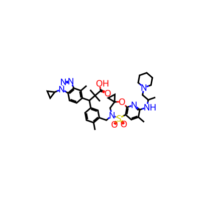 Cc1ccc(C(c2ccc3c(nnn3C3CC3)c2C)C(C)(C)C(=O)O)cc1CN1CC2(CC2)Oc2nc(NC(C)CN3CCCCC3)c(C)cc2S1(=O)=O